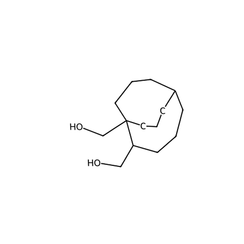 OCC1CCCC2CCCC1(CO)CCC2